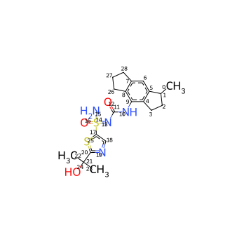 CC1CCc2c1cc1c(c2NC(=O)N=S(N)(=O)c2cnc(C(C)(C)O)s2)CCC1